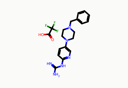 N=C(N)Nc1ccc(N2CCN(Cc3ccccc3)CC2)cn1.O=C(O)C(F)(F)F